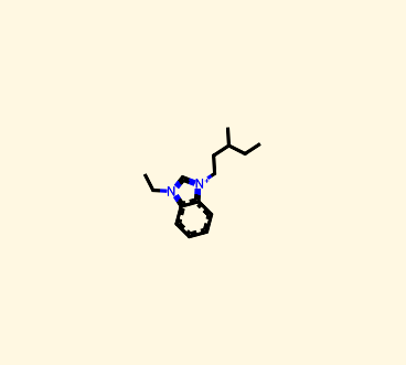 CCC(C)CC[n+]1cn(CC)c2ccccc21